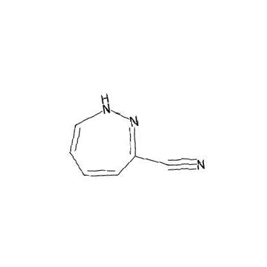 N#CC1=NNC=CC=C1